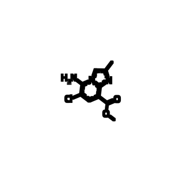 COC(=O)c1cc(Cl)c(N)n2cc(C)nc12